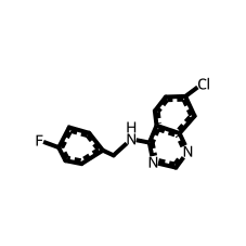 Fc1ccc(CNc2ncnc3cc(Cl)ccc23)cc1